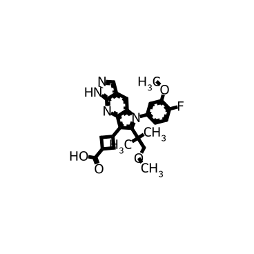 COCC(C)(C)c1c(C2CC(C(=O)O)C2)c2nc3[nH]ncc3cc2n1-c1ccc(F)c(OC)c1